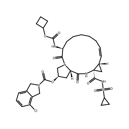 O=C(N[C@H]1CCCCC/C=C\[C@@H]2C[C@@]2(C(=O)NS(=O)(=O)C2CC2)NC(=O)[C@@H]2C[C@@H](OC(=O)N3Cc4cccc(Cl)c4C3)CN2C1=O)OC1CCC1